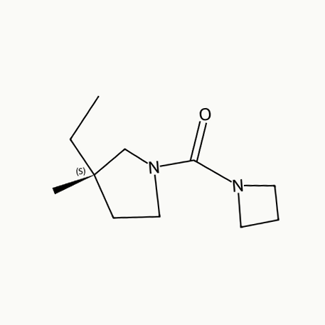 CC[C@@]1(C)CCN(C(=O)N2CCC2)C1